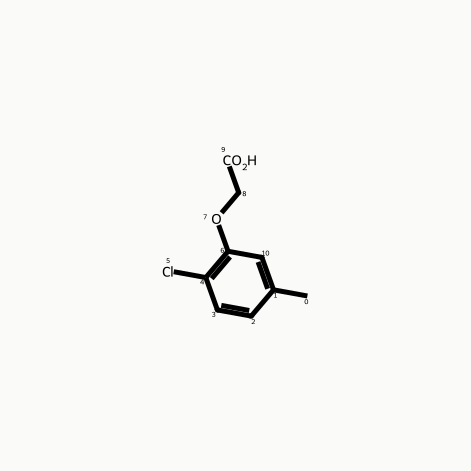 Cc1ccc(Cl)c(OCC(=O)O)c1